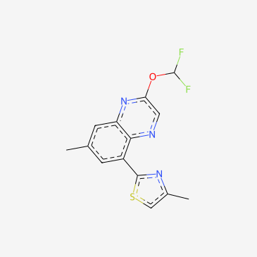 Cc1cc(-c2nc(C)cs2)c2ncc(OC(F)F)nc2c1